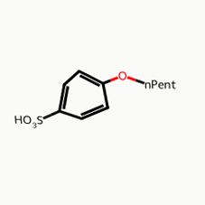 CCCCCOc1ccc(S(=O)(=O)O)cc1